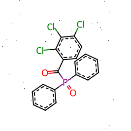 O=C(c1ccc(Cl)c(Cl)c1Cl)P(=O)(c1ccccc1)c1ccccc1